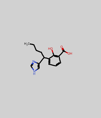 CCCCC(c1c[nH]cn1)c1cccc(C(=O)O)c1O